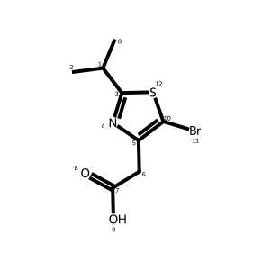 CC(C)c1nc(CC(=O)O)c(Br)s1